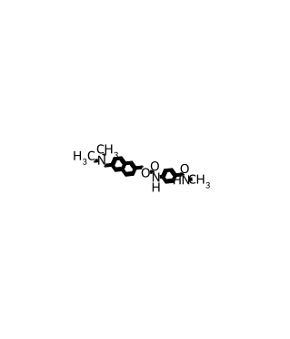 CCN(CC)Cc1ccc2cc(COC(=O)Nc3ccc(C(=O)NC)cc3)ccc2c1